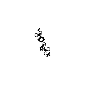 CCOC(=O)c1ccc(OC2CCN2C(=O)OC(C)(C)C)cc1